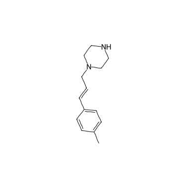 Cc1ccc(C=CCN2CCNCC2)cc1